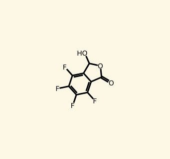 O=C1OC(O)c2c(F)c(F)c(F)c(F)c21